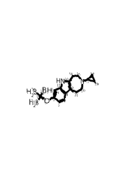 BC(B)(B)Oc1ccc2c3c([nH]c2c1)CCN(C1CC1)CC3